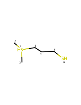 C[SH](C)CCCS